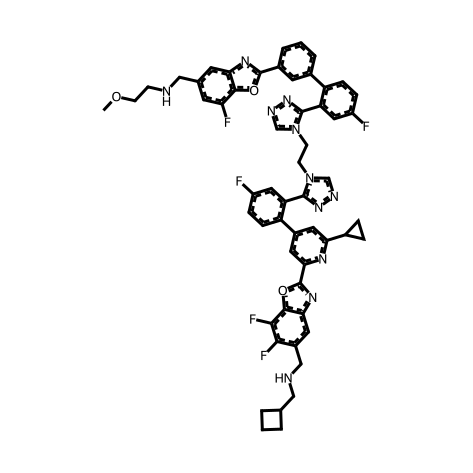 COCCNCc1cc(F)c2oc(-c3cccc(-c4ccc(F)cc4-c4nncn4CCn4cnnc4-c4cc(F)ccc4-c4cc(-c5nc6cc(CNCC7CCC7)c(F)c(F)c6o5)nc(C5CC5)c4)c3)nc2c1